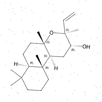 C=C[C@]1(C)O[C@@]2(C)CC[C@@H]3C(C)(C)CCC[C@@]3(C)[C@@H]2C[C@H]1O